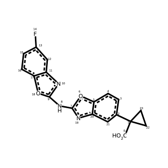 O=C(O)C1(c2ccc3oc(Nc4nc5cc(F)ccc5o4)nc3c2)CC1